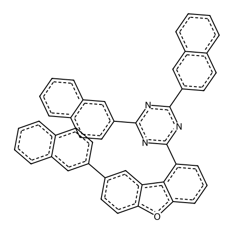 c1ccc2cc(-c3ccc4oc5cccc(-c6nc(-c7ccc8ccccc8c7)nc(-c7ccc8ccccc8c7)n6)c5c4c3)ccc2c1